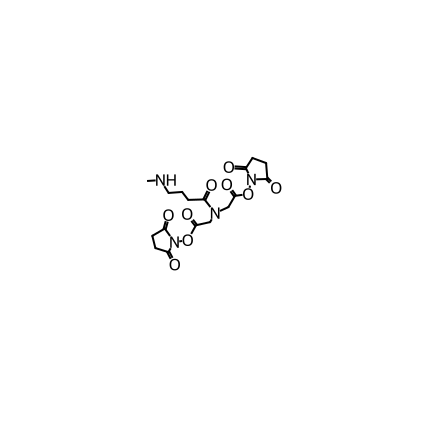 CNCCCC(=O)N(CC(=O)ON1C(=O)CCC1=O)CC(=O)ON1C(=O)CCC1=O